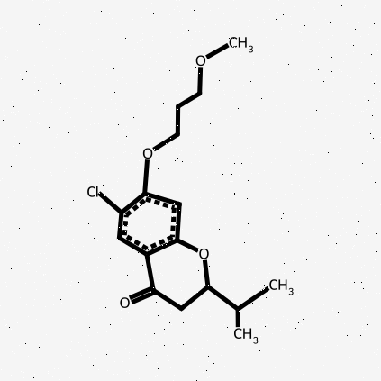 COCCCOc1cc2c(cc1Cl)C(=O)CC(C(C)C)O2